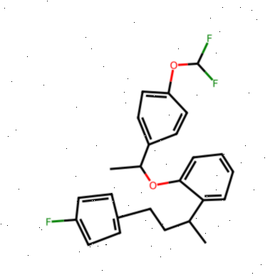 CC(CCc1ccc(F)cc1)c1ccccc1OC(C)c1ccc(OC(F)F)cc1